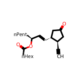 C#C[C@@H]1CC(=O)C[C@H]1C=C[C@H](CCCCC)OC(=O)CCCCCC